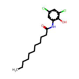 CCCCCCCCCCC(=O)Nc1cc(Cl)cc(Cl)c1O